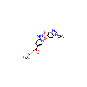 CC(=O)SCC(=O)c1ccc(NS(=O)(=O)c2ccc3c(c2)ncn3C)nc1